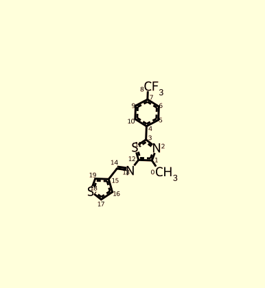 Cc1nc(-c2ccc(C(F)(F)F)cc2)sc1N=Cc1ccsc1